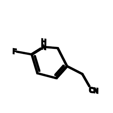 N#CCC1=CC=C(F)NC1